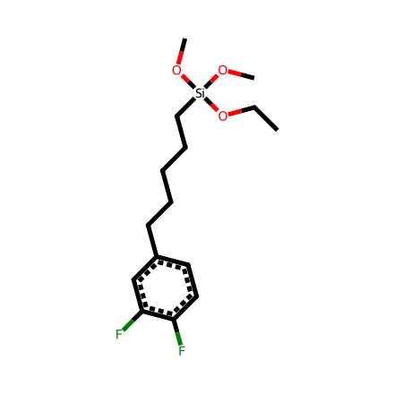 CCO[Si](CCCCCc1ccc(F)c(F)c1)(OC)OC